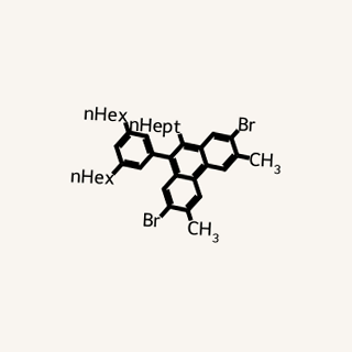 CCCCCCCc1c(-c2cc(CCCCCC)cc(CCCCCC)c2)c2cc(Br)c(C)cc2c2cc(C)c(Br)cc12